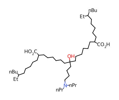 CCCCC(CC)CCCCCC(CCCCCCC(O)(CCCCCCC(CCCCCC(CC)CCCC)C(=O)O)CCCCN(CCC)CCC)C(=O)O